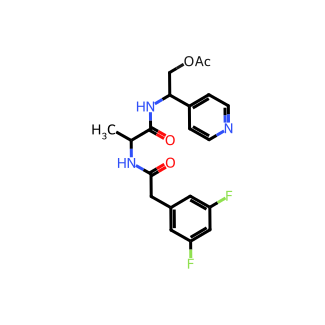 CC(=O)OCC(NC(=O)C(C)NC(=O)Cc1cc(F)cc(F)c1)c1ccncc1